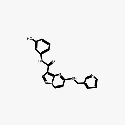 O=C(Nc1cccc(O)c1)c1cnn2ccc(NCc3cccnc3)nc12